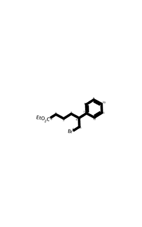 CCOC(=O)CCCC(CBr)c1ccccc1